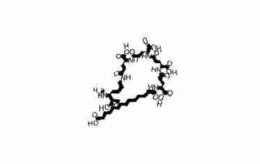 O=C(O)CCCCCCCCCCCCC(=O)N[C@@H](CCC(=O)N[C@@H](CCC(=O)N[C@@H](CCC(=O)N[C@@H](CCC(=O)NCCCC[C@H](NP)C1COC1O)C(=O)O)C(=O)O)C(=O)O)C(=O)O